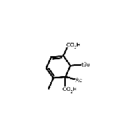 CC(=O)C1(C(=O)O)C(C)=CC=C(C(=O)O)C1C(C)(C)C